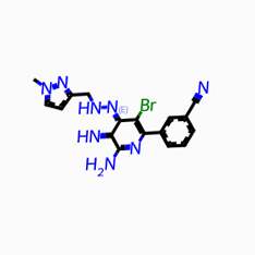 Cn1ccc(CN/N=C2\C(=N)C(N)=NC(c3cccc(C#N)c3)=C2Br)n1